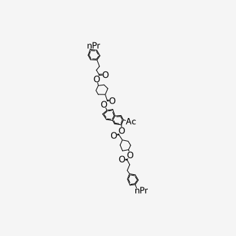 CCCc1ccc(CCC(=O)OC2CCC(C(=O)Oc3ccc4cc(OC(=O)C5CCC(OC(=O)CCc6ccc(CCC)cc6)CC5)c(C(C)=O)cc4c3)CC2)cc1